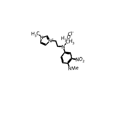 CNc1ccc(N(C)CC[n+]2ccn(C)c2)cc1[N+](=O)[O-].O.[Cl-]